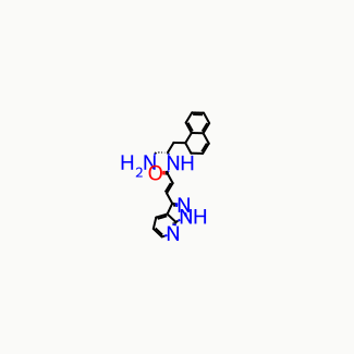 NC[C@H](CC1CC=Cc2ccccc21)NC(=O)C=Cc1n[nH]c2ncccc12